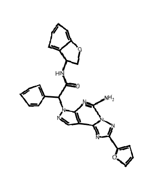 Nc1nc2c(cnn2C(C(=O)NC2COc3ccccc32)c2ccccc2)c2nc(-c3ccco3)nn12